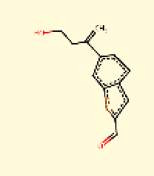 C=C(CCO)c1ccc2cc(C=O)sc2c1